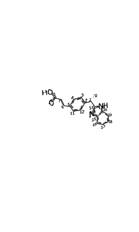 C[C@@H](c1ccc(/C=C/C(=O)O)cc1)c1nc2ccccc2[nH]1